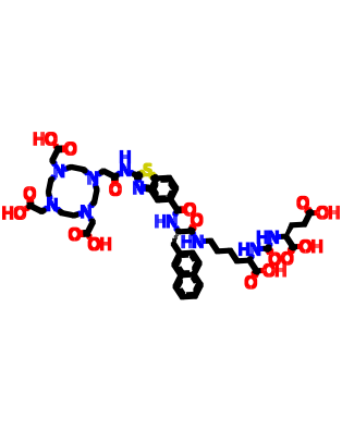 O=C(O)CC[C@H](NC(=O)NC(CCCCNC(=O)[C@H](Cc1ccc2ccccc2c1)NC(=O)c1ccc2sc(NC(=O)CN3CCN(CC(=O)O)CCN(CC(=O)O)CCN(CC(=O)O)CC3)nc2c1)C(=O)O)C(=O)O